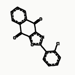 O=C1c2ccccc2C(=O)c2oc(-c3ccccc3Cl)nc21